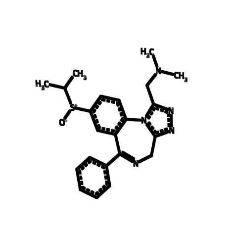 CC(C)[S+]([O-])c1ccc2c(c1)C(c1ccccc1)=NCc1nnc(CN(C)C)n1-2